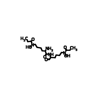 CCC(=O)N(O)CCCCC(C=O)NC(=O)C(N)CCCCN(O)C(=O)CC